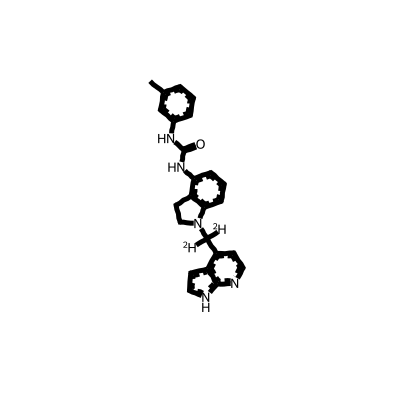 [2H]C([2H])(c1ccnc2[nH]ccc12)N1CCc2c(NC(=O)Nc3cccc(C)c3)cccc21